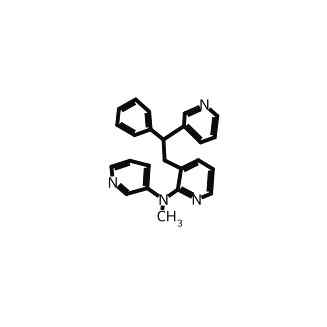 CN(c1cccnc1)c1ncccc1CC(c1ccccc1)c1cccnc1